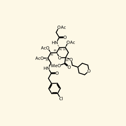 COC(=O)[C@@]1(OCC2CCOCC2)C[C@H](OC(C)=O)[C@@H](NC(=O)COC(C)=O)[C@H]([C@H](OC(C)=O)[C@@H](CNC(=O)Cc2ccc(Cl)cc2)OC(C)=O)O1